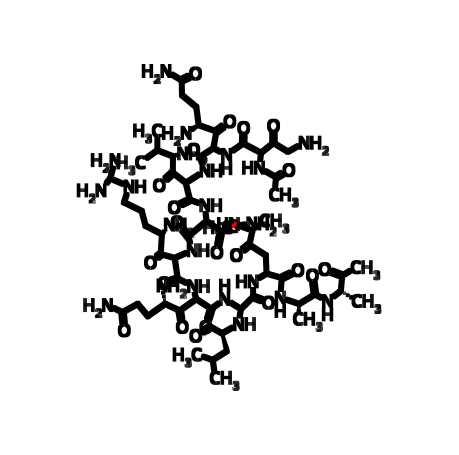 CN[C@@H](C)C(=O)CC(NC(=O)C(NC(=O)C(NC(=O)C(NC(=O)C(NC(=O)C(NC(=O)C(NC(=O)C(NC(C)=O)C(=O)CN)C(=O)[C@@H](N)CCC(N)=O)C(=O)[C@@H](N)C(C)C)C(=O)CN)C(=O)[C@@H](N)CCCNC(N)N)C(=O)[C@@H](N)CCC(N)=O)N[C@H](C=O)CC(C)C)C(=O)N[C@@H](C)C(=O)N[C@@H](C)C(C)=O